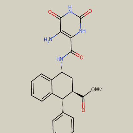 COC(=O)[C@@H]1C[C@@H](NC(=O)c2[nH]c(=O)[nH]c(=O)c2N)c2ccccc2[C@H]1c1ccccc1